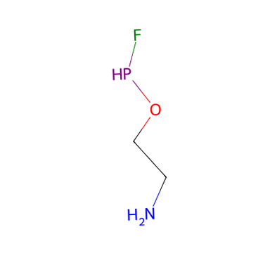 NCCOPF